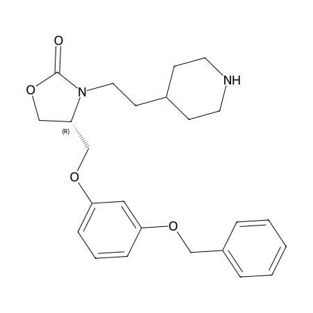 O=C1OC[C@@H](COc2cccc(OCc3ccccc3)c2)N1CCC1CCNCC1